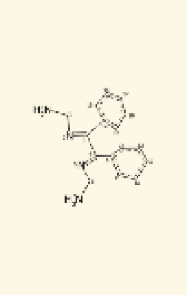 NC/N=C(/C(=N/CN)c1ccccc1)c1ccccc1